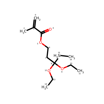 C=C(C)C(=O)OCCC(OCC)(OCC)[SiH2]C